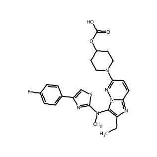 CCc1nc2ccc(N3CCC(OC(=O)O)CC3)nn2c1N(C)c1nc(-c2ccc(F)cc2)cs1